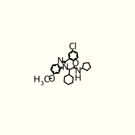 COc1ccc2nc(-c3cccc(Cl)c3)n(C(C(=O)NC3CCCC3)C3CCCCC3)c2c1